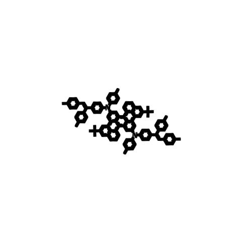 Cc1ccc(C=C(c2ccc(C)cc2)c2ccc(N(c3ccc(C)cc3)c3cc4c5cc(C(C)(C)C)cc6cccc(c65)c5c6cc(N(c7ccc(C)cc7)c7ccc(C(=Cc8ccc(C)cc8)c8ccc(C)cc8)cc7)cc7c8cc(C(C)(C)C)cc9cccc(c98)c(c(c3)c45)c76)cc2)cc1